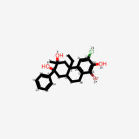 CCC12CC(C)(O)C(O)(c3ccccc3)CC1CCc1c2cc(Cl)c(O)c1Br